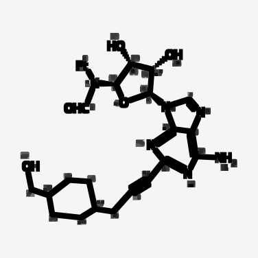 CCN(C=O)[C@@H]1O[C@H](n2cnc3c(N)nc(C#CCC4CCC(CO)CC4)nc32)[C@@H](O)[C@H]1O